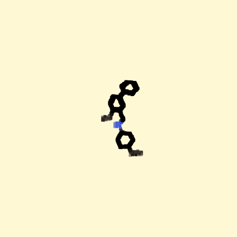 CN[C@H]1CC[C@H](NCc2cc(-c3ccccc3)ccc2OC)CC1